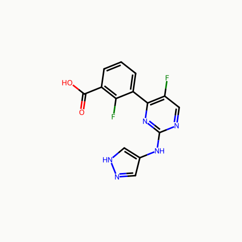 O=C(O)c1cccc(-c2nc(Nc3cn[nH]c3)ncc2F)c1F